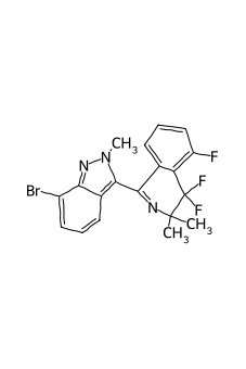 Cn1nc2c(Br)cccc2c1C1=NC(C)(C)C(F)(F)c2c(F)cccc21